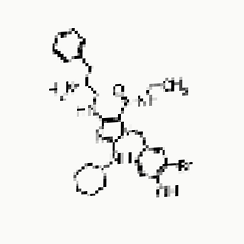 CCNC(=O)c1c(NC[C@H](N)Cc2ccccc2)nc(NC2CCCCC2)n1Cc1ccc(O)c(Br)c1